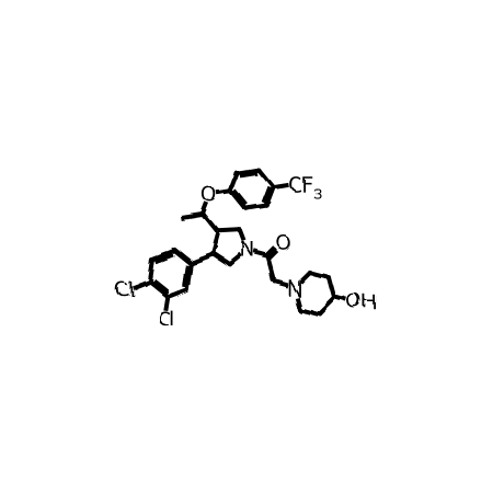 CC(Oc1ccc(C(F)(F)F)cc1)C1CN(C(=O)CN2CCC(O)CC2)CC1c1ccc(Cl)c(Cl)c1